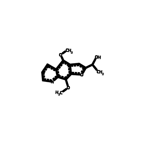 COc1c2cccnc2c(OC)c2oc(C(C)O)cc12